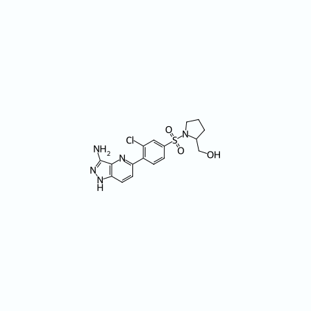 Nc1n[nH]c2ccc(-c3ccc(S(=O)(=O)N4CCCC4CO)cc3Cl)nc12